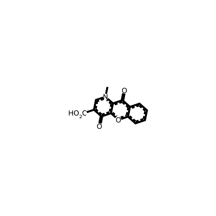 Cn1cc(C(=O)O)c(=O)c2oc3ccccc3c(=O)c21